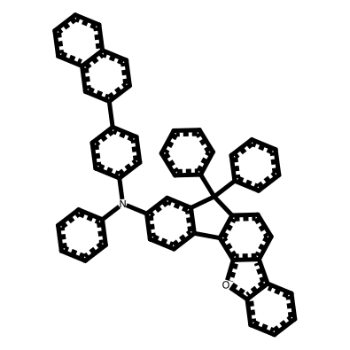 c1ccc(N(c2ccc(-c3ccc4ccccc4c3)cc2)c2ccc3c(c2)C(c2ccccc2)(c2ccccc2)c2ccc4c(oc5ccccc54)c2-3)cc1